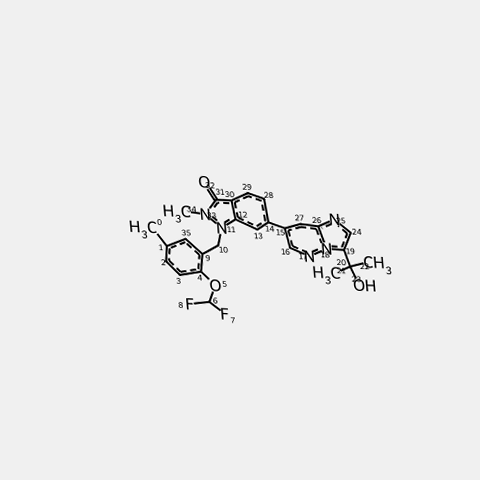 Cc1ccc(OC(F)F)c(Cn2c3cc(-c4cnn5c(C(C)(C)O)cnc5c4)ccc3c(=O)n2C)c1